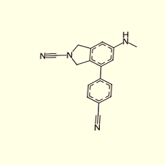 CNc1cc2c(c(-c3ccc(C#N)cc3)c1)CN(C#N)C2